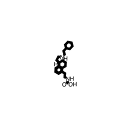 O=C(O)NCCc1cccc2c1CC[C@@H]1[C@H]2CCN1CCC1CCCCC1